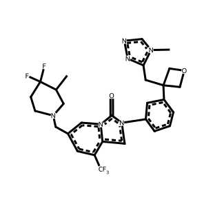 CC1CN(Cc2cc(C(F)(F)F)c3cn(-c4cccc(C5(Cc6nncn6C)COC5)c4)c(=O)n3c2)CCC1(F)F